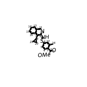 COC(=O)c1ccc(SNc2ncc3ccccc3c2C2CC2)cc1C